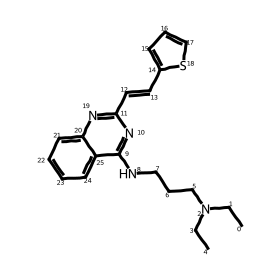 CCN(CC)CCCNc1nc(/C=C/c2cccs2)nc2ccccc12